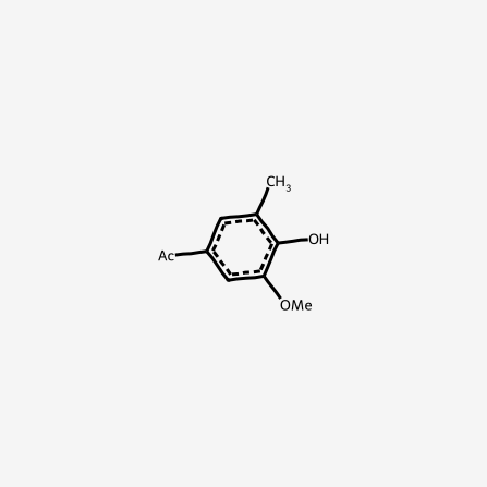 COc1cc(C(C)=O)cc(C)c1O